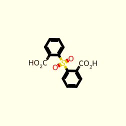 O=C(O)c1ccccc1S(=O)(=O)c1ccccc1C(=O)O